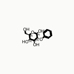 OC[C@H]1O[C@@H](O)[C@H](Oc2ccccc2)[C@@H](O)[C@H]1O